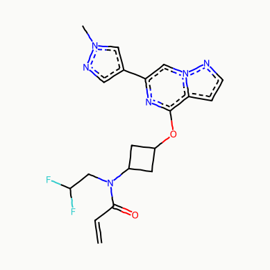 C=CC(=O)N(CC(F)F)C1CC(Oc2nc(-c3cnn(C)c3)cn3nccc23)C1